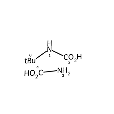 CC(C)(C)NC(=O)O.NC(=O)O